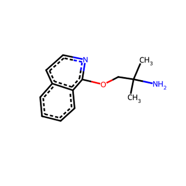 CC(C)(N)COc1nccc2ccccc12